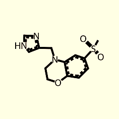 CS(=O)(=O)c1ccc2c(c1)N(Cc1c[nH]cn1)CCO2